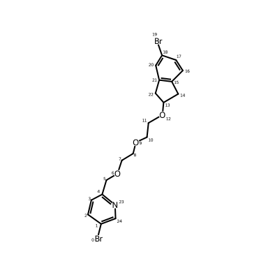 Brc1ccc(COCCOCCOC2Cc3ccc(Br)cc3C2)nc1